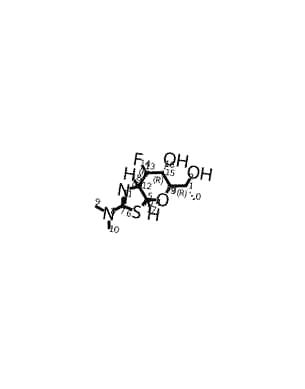 C[C@@H](O)[C@H]1O[C@@H]2SC(N(C)C)=N[C@@H]2[C@@H](F)[C@@H]1O